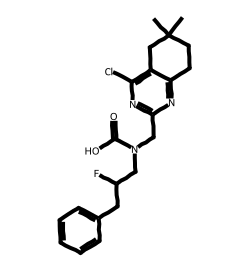 CC1(C)CCc2nc(CN(CC(F)Cc3ccccc3)C(=O)O)nc(Cl)c2C1